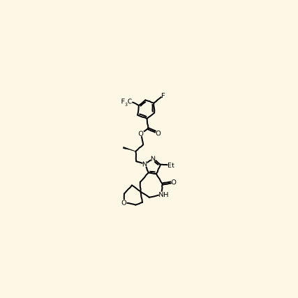 CCc1nn(C[C@@H](C)COC(=O)c2cc(F)cc(C(F)(F)F)c2)c2c1C(=O)NCC1(CCOCC1)C2